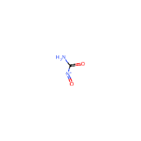 NC(=O)[N+]=O